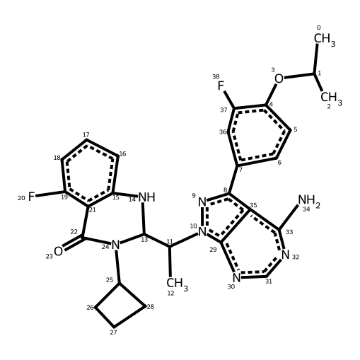 CC(C)Oc1ccc(-c2nn(C(C)C3Nc4cccc(F)c4C(=O)N3C3CCC3)c3ncnc(N)c23)cc1F